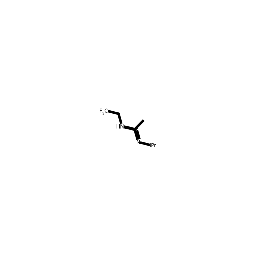 C/C(=N\C(C)C)NCC(F)(F)F